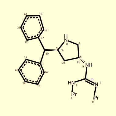 CC(C)/N=C(\NC(C)C)N[C@H]1CN[C@H](C(c2ccccc2)c2ccccc2)C1